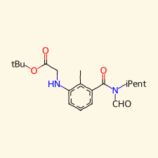 CCCC(C)N(C=O)C(=O)c1cccc(NCC(=O)OC(C)(C)C)c1C